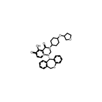 O=C1c2c(O)c(=O)ccn2N([C@H]2c3ccccc3CSc3ccccc32)CN1C1CCC(OC2CCOC2)CC1